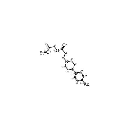 CCOC(C)COC(=O)CCN1CCN(c2ccc(C(C)=O)cc2)CC1